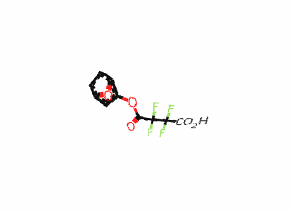 O=C(O)C(F)(F)C(F)(F)C(=O)Oc1cc2ccc1o2